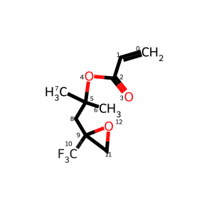 C=CC(=O)OC(C)(C)CC1(C(F)(F)F)CO1